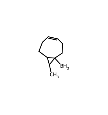 BC12CC/C=C\CCC1C2C